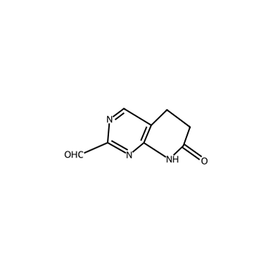 O=Cc1ncc2c(n1)NC(=O)CC2